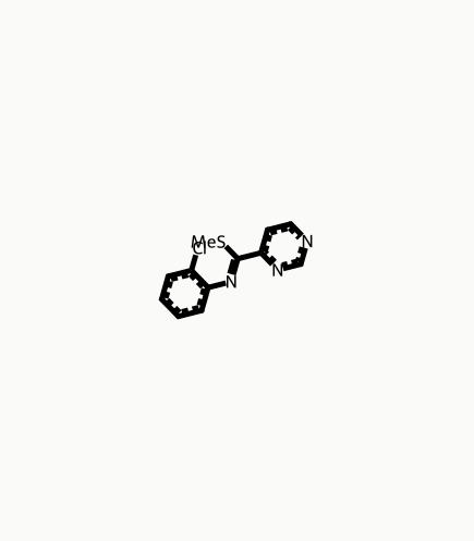 CSC(=Nc1ccccc1Cl)c1ccncn1